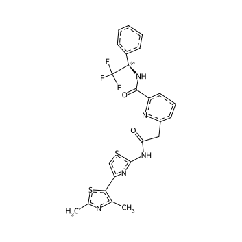 Cc1nc(C)c(-c2csc(NC(=O)Cc3cccc(C(=O)N[C@H](c4ccccc4)C(F)(F)F)n3)n2)s1